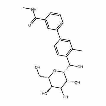 CNC(=O)c1cccc(-c2ccc(C(O)[C@H]3O[C@@H](CO)[C@H](O)C(O)[C@H]3O)c(C)c2)c1